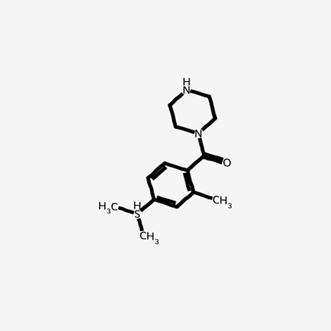 Cc1cc([SH](C)C)ccc1C(=O)N1CCNCC1